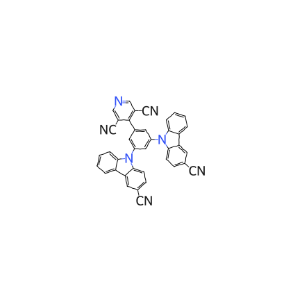 N#Cc1ccc2c(c1)c1ccccc1n2-c1cc(-c2c(C#N)cncc2C#N)cc(-n2c3ccccc3c3cc(C#N)ccc32)c1